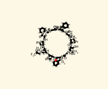 CCCCN1CC(=O)N(C)[C@@H](Cc2ccccc2)C(=O)N(C)[C@@H](CC(C)C)C(=O)N[C@@H](COCC(O)C(F)(F)F)C(=O)N(C)[C@@H](CC(C)C)C(=O)N[C@H](C(=O)N2CCCCC2)CC(=O)N(C)CC(=O)N(C)[C@@H](Cc2ccccc2)C(=O)N[C@@H]([C@@H](C)CC)C(=O)N(C)[C@@H](CC(C)C)C(=O)NC([C@@H](C)O)C1=O